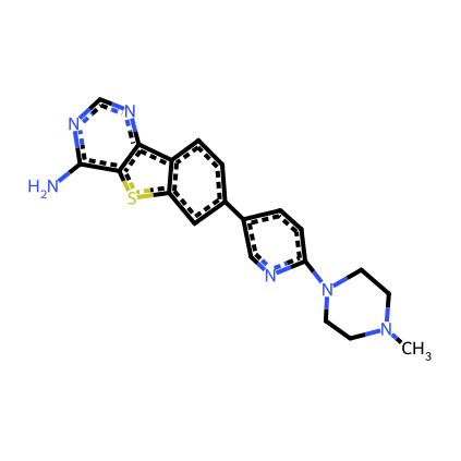 CN1CCN(c2ccc(-c3ccc4c(c3)sc3c(N)ncnc34)cn2)CC1